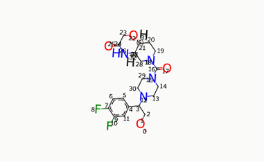 COCC(c1ccc(F)c(F)c1)N1CCN(C(=O)N2CC[C@@H]3OCC(=O)N[C@@H]3C2)CC1